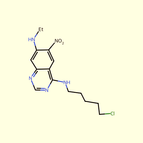 CCNc1cc2ncnc(NCCCCCCl)c2cc1[N+](=O)[O-]